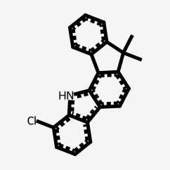 CC1(C)c2ccccc2-c2c1ccc1c2[nH]c2c(Cl)cccc21